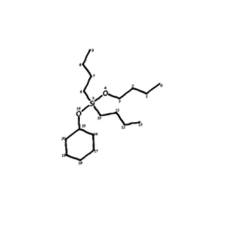 CCCCO[Si](CCCC)(CCCC)OC1CCCCC1